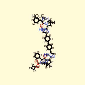 O=C(O)N[C@@H](C(=O)N1[C@@H]2C[C@@H]2C[C@H]1c1nc(-c2ccc(-c3ccc(-c4cnc([C@@H]5C[C@H]6C[C@H]6N5C(=O)[C@H](NC(=O)OC5CCC5)c5ccccc5)[nH]4)cc3)cc2)c[nH]1)c1ccccc1